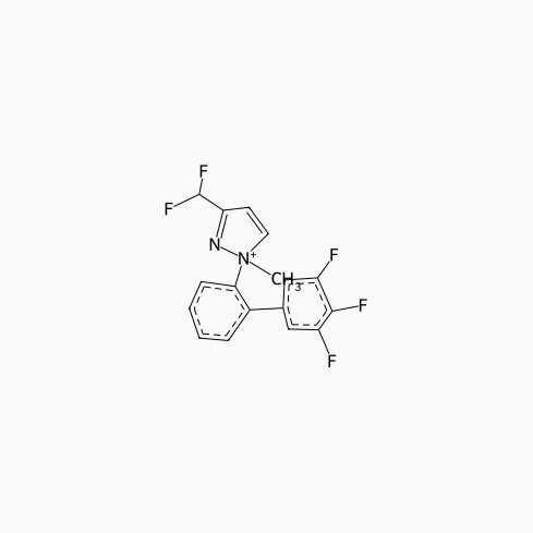 C[N+]1(c2ccccc2-c2cc(F)c(F)c(F)c2)C=CC(C(F)F)=N1